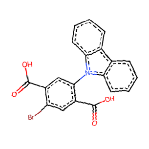 O=C(O)c1cc(-n2c3ccccc3c3ccccc32)c(C(=O)O)cc1Br